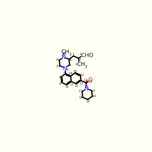 CC(C=O)CC1CN(c2cccc3cc(C(=O)N4CCCCC4)ccc23)CCN1C